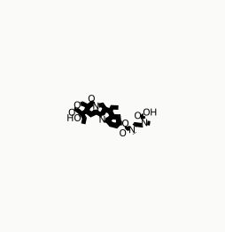 CCc1c2c(nc3ccc(OC(=O)N(C)CCN(C)C(=O)O)cc13)-c1cc3c(c(=O)n1C2)COC(=O)[C@]3(O)CC